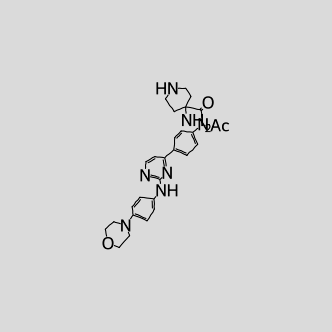 CC(=O)N(C(=O)C1(N)CCNCC1)c1ccc(-c2ccnc(Nc3ccc(N4CCOCC4)cc3)n2)cc1